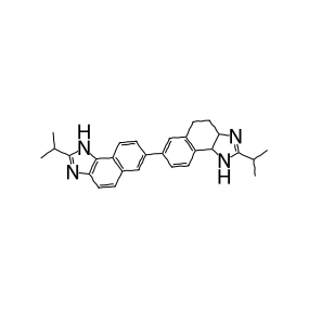 CC(C)C1=NC2CCc3cc(-c4ccc5c(ccc6nc(C(C)C)[nH]c65)c4)ccc3C2N1